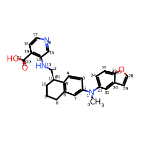 CN(c1ccc2c(c1)CCC[C@H]2CNc1cnccc1C(=O)O)c1ccc2occc2c1